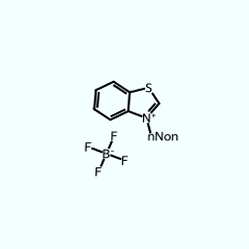 CCCCCCCCC[n+]1csc2ccccc21.F[B-](F)(F)F